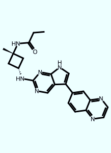 CCC(=O)N[C@]1(C)C[C@H](Nc2ncc3c(-c4ccc5nccnc5c4)c[nH]c3n2)C1